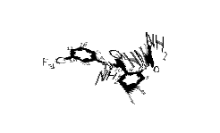 NC(=O)Nc1ccccc1C(=O)N(N)c1cccc(C(F)(F)F)c1